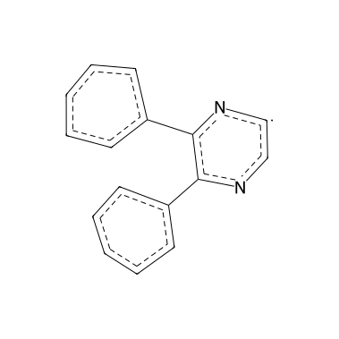 [c]1cnc(-c2ccccc2)c(-c2ccccc2)n1